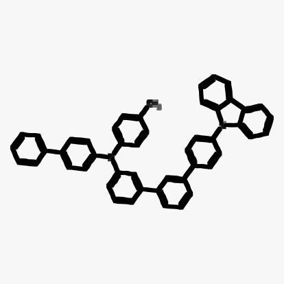 Cc1ccc(N(c2ccc(-c3ccccc3)cc2)c2cccc(-c3cccc(-c4ccc(-n5c6ccccc6c6ccccc65)cc4)c3)c2)cc1